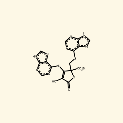 CCOC(=O)C1(CSc2ncnc3[nH]cnc23)OC(=O)C(O)=C1Sc1ncnc2[nH]cnc12